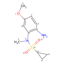 COc1ccc(N)c(N(C)S(=O)(=O)C2CC2)c1